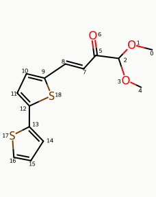 COC(OC)C(=O)/C=C/c1ccc(-c2cccs2)s1